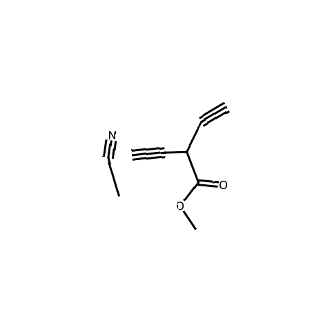 C#CC(C#C)C(=O)OC.CC#N